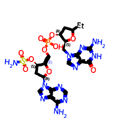 CCC1C[C@@H](OP(=O)(O)O/C=C2/O[C@@H](n3cnc4c(N)ncnc43)C[C@@H]2OS(N)(=O)=O)[C@H](Cn2cnc3c(=O)[nH]c(N)nc32)O1